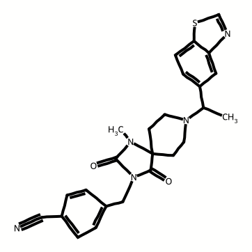 CC(c1ccc2scnc2c1)N1CCC2(CC1)C(=O)N(Cc1ccc(C#N)cc1)C(=O)N2C